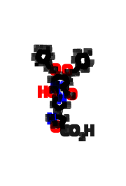 O=C(O)c1cc([C@@H]2CCN(C(=O)c3cc(OCc4ccccc4)c(OCc4ccccc4)c[n+]3O)C2)no1